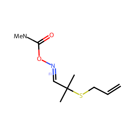 C=CCSC(C)(C)/C=N/OC(=O)NC